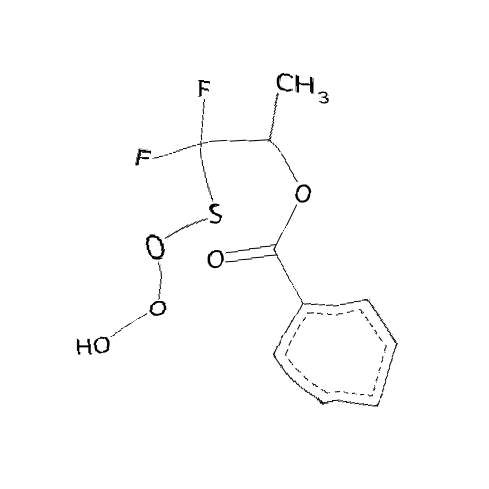 CC(OC(=O)c1ccccc1)C(F)(F)SOOO